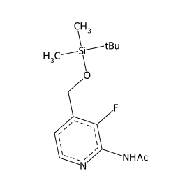 CC(=O)Nc1nccc(CO[Si](C)(C)C(C)(C)C)c1F